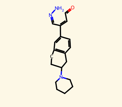 N/N=C\C(=C/C=O)c1ccc2c(c1)CCC(N1CCCCC1)C2